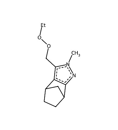 CCOOCc1c2c(nn1C)C1CCC2C1